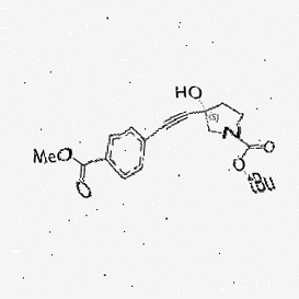 COC(=O)c1ccc(C#C[C@@]2(O)CCN(C(=O)OC(C)(C)C)C2)cc1